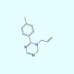 C=CCN1CN=CN=C1c1ccc(C)cc1